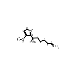 C=CCCCCC(CCCC)C1=NCC=C1OCC